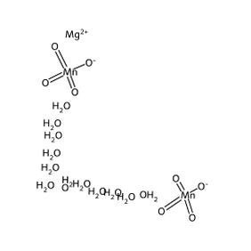 O.O.O.O.O.O.O.O.O.O.O.O.[Mg+2].[O]=[Mn](=[O])(=[O])[O-].[O]=[Mn](=[O])(=[O])[O-]